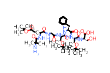 C[C@@H](OC(C)(C)C)[C@H](NC(=O)CNC(=O)[C@H](CCC(=O)OC(C)(C)C)NC(=O)C(C)(C)N)C(=O)N[C@@H](Cc1ccccc1)C(=O)N[C@H](C(=O)N[C@@H](CO)C(=O)O)[C@@H](C)OC(C)(C)C